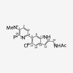 CNc1ccc(-c2cc3[nH]c(CNC(C)=O)cc3cc2Cl)nc1F